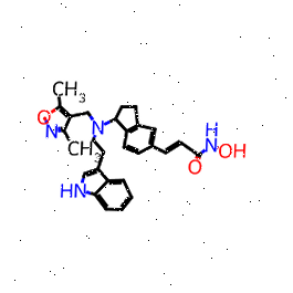 Cc1noc(C)c1CN(CCc1c[nH]c2ccccc12)C1CCc2cc(/C=C/C(=O)NO)ccc21